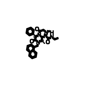 CCNC(=O)N1C2[C@H](C)N(Cc3cccc4ccccc34)C(=O)[C@H](c3ccccc3)N2C(=O)CN1C